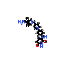 NC1[C@H]2CN(CC3CCN(c4ccc(NC5CCC(=O)NC5=O)cc4)CC3)C[C@@H]12